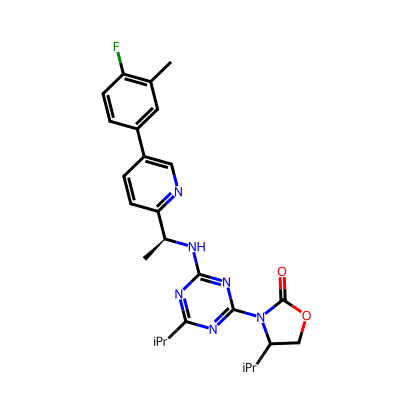 Cc1cc(-c2ccc([C@H](C)Nc3nc(C(C)C)nc(N4C(=O)OCC4C(C)C)n3)nc2)ccc1F